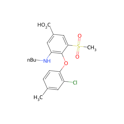 CCCCNc1cc(C(=O)O)cc(S(C)(=O)=O)c1Oc1ccc(C)cc1Cl